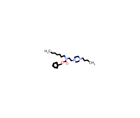 CCCCCCCN(CCN1CCN(CCCC)CC1)C(=O)OCc1ccccc1